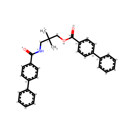 CC(C)(CNC(=O)c1ccc(-c2ccccc2)cc1)COC(=O)c1ccc(-c2ccccc2)cc1